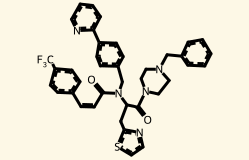 O=C(C(Cc1nccs1)N(Cc1ccc(-c2ccccn2)cc1)C(=O)/C=C\c1ccc(C(F)(F)F)cc1)N1CCN(Cc2ccccc2)CC1